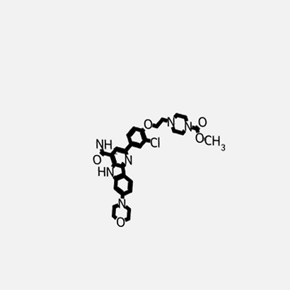 COC(=O)N1CCN(CCOc2ccc(-c3cc(C(N)=O)c4[nH]c5cc(N6CCOCC6)ccc5c4n3)cc2Cl)CC1